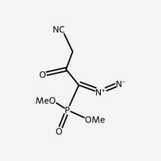 COP(=O)(OC)C(=[N+]=[N-])C(=O)CC#N